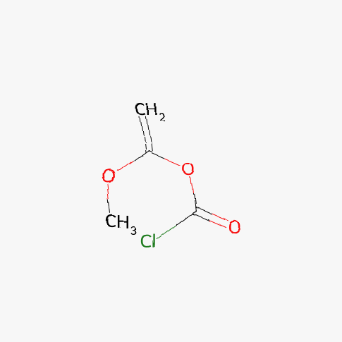 C=C(OC)OC(=O)Cl